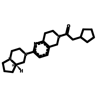 O=C(CC1CCCC1)N1CCc2nc(N3CCN4CCC[C@@H]4C3)ccc2C1